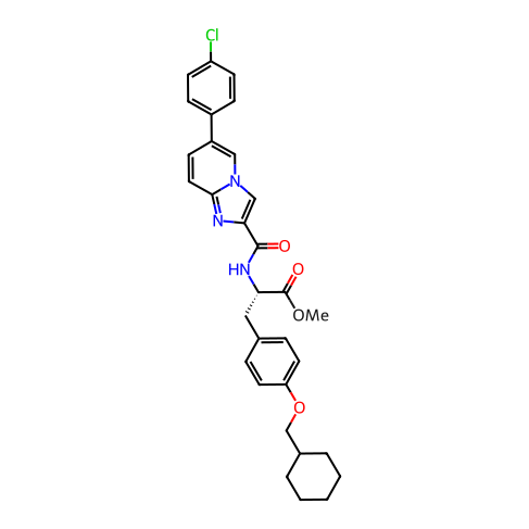 COC(=O)[C@H](Cc1ccc(OCC2CCCCC2)cc1)NC(=O)c1cn2cc(-c3ccc(Cl)cc3)ccc2n1